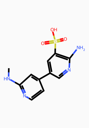 CNc1cc(-c2cnc(N)c(S(=O)(=O)O)c2)ccn1